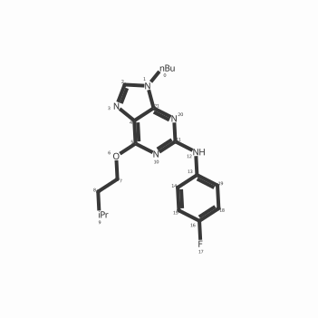 CCCCn1cnc2c(OCCC(C)C)nc(Nc3ccc(F)cc3)nc21